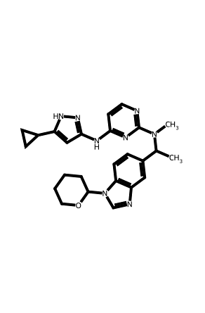 CC(c1ccc2c(c1)ncn2C1CCCCO1)N(C)c1nccc(Nc2cc(C3CC3)[nH]n2)n1